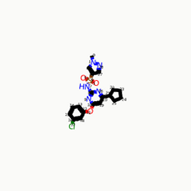 Cn1cc(S(=O)(=O)Nc2nc(Oc3cccc(Cl)c3)cc(C3CCCC3)n2)cn1